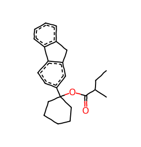 CCC(C)C(=O)OC1(c2ccc3c(c2)Cc2ccccc2-3)CCCCC1